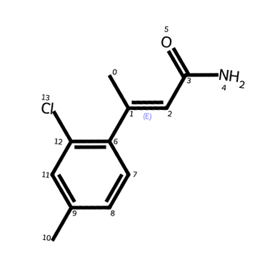 C/C(=C\C(N)=O)c1ccc(C)cc1Cl